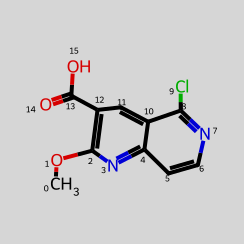 COc1nc2ccnc(Cl)c2cc1C(=O)O